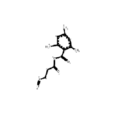 Cc1cc(C)c(C(=O)OC(=O)CCP=O)c(C)c1